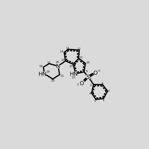 O=S(=O)(c1ccccc1)c1cc2cccc(N3CCNCC3)c2[nH]1